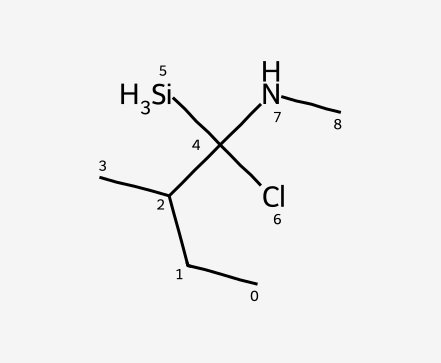 CCC(C)C([SiH3])(Cl)NC